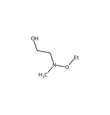 [CH2]CON(C)CCO